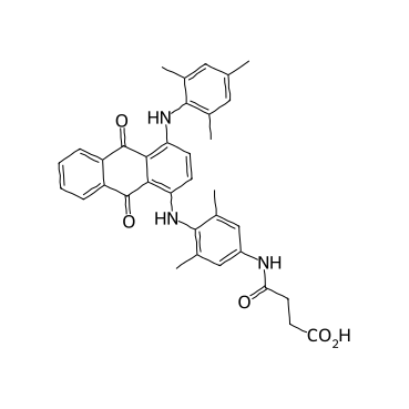 Cc1cc(C)c(Nc2ccc(Nc3c(C)cc(NC(=O)CCC(=O)O)cc3C)c3c2C(=O)c2ccccc2C3=O)c(C)c1